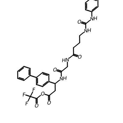 O=C(CCCNC(=O)Nc1ccccc1)NCC(=O)NC(CC(=O)OC(=O)C(F)(F)F)c1ccc(-c2ccccc2)cc1